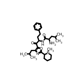 CC(C)Cc1nc(C2CCCCN2C)oc1C(=O)C(CCc1ccccc1)NC(=O)C(N)CC(C)C